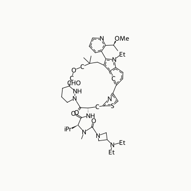 CCN(CC)C1CN(C(=O)N(C)[C@H](C(=O)N[C@H]2Cc3nc(cs3)-c3ccc4c(c3)c(c(-c3cccnc3[C@H](C)OC)n4CC)CC(C)(C)COC[C@@]3(C=O)CCCN(N3)C2=O)C(C)C)C1